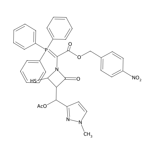 CC(=O)OC(c1ccn(C)n1)C1C(=O)N(C(C(=O)OCc2ccc([N+](=O)[O-])cc2)=P(c2ccccc2)(c2ccccc2)c2ccccc2)C1S